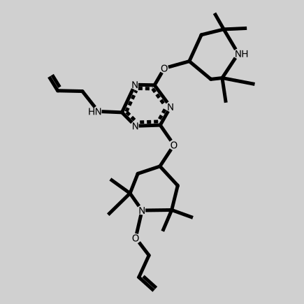 C=CCNc1nc(OC2CC(C)(C)NC(C)(C)C2)nc(OC2CC(C)(C)N(OCC=C)C(C)(C)C2)n1